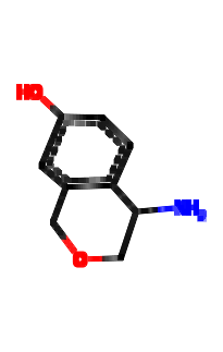 NC1COCc2cc(O)ccc21